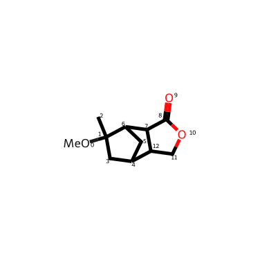 COC1(C)CC2CC1C1C(=O)OCC21